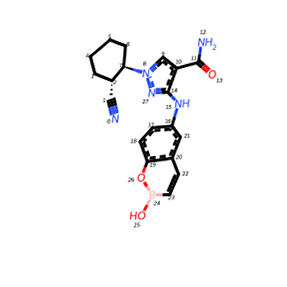 N#C[C@@H]1CCCC[C@H]1n1cc(C(N)=O)c(Nc2ccc3c(c2)C=CB(O)O3)n1